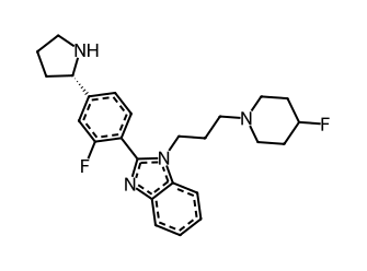 Fc1cc([C@@H]2CCCN2)ccc1-c1nc2ccccc2n1CCCN1CCC(F)CC1